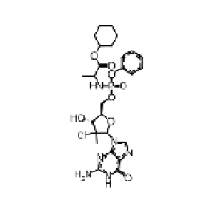 CC(NP(=O)(OC[C@H]1O[C@@H](n2cnc3c(=O)[nH]c(N)nc32)[C@](C)(Cl)[C@@H]1O)Oc1ccccc1)C(=O)OC1CCCCC1